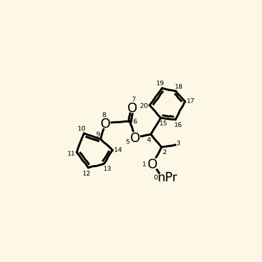 CCCOC(C)C(OC(=O)Oc1ccccc1)c1ccccc1